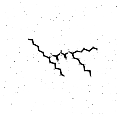 CCCCCCCC(CCCCCC)OC(=O)NC(=O)OC(CCCCCC)CCCCCCC